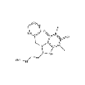 CCCOCCC1Nc2c(c(=O)n(C)c(=O)n2C)N1Cc1ccccn1